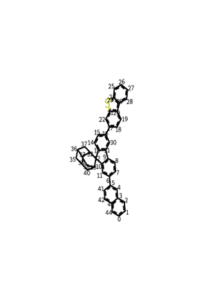 c1ccc2cc(-c3ccc4c(c3)C3(c5ccc(-c6ccc7c(c6)sc6ccccc67)cc5-4)C4CC5CC(C4)CC3C5)ccc2c1